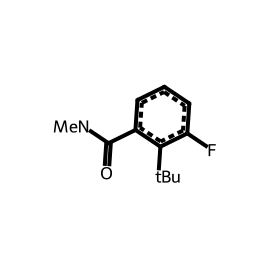 CNC(=O)c1cccc(F)c1C(C)(C)C